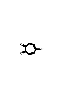 CC(C)C1=CCC(=O)C(=O)C=C1